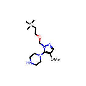 COc1cnn(COCC[Si](C)(C)C)c1N1CCNCC1